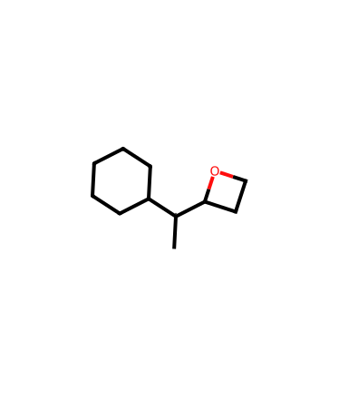 C[C](C1CCCCC1)C1CCO1